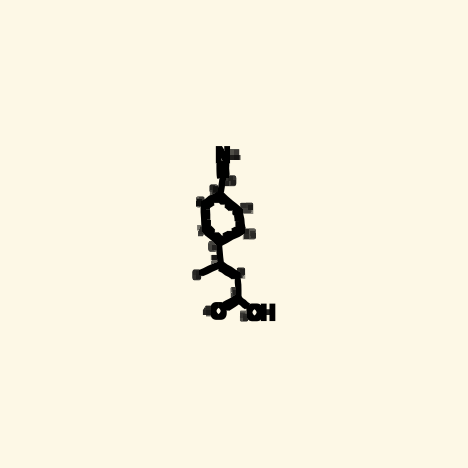 CC(=CC(=O)O)c1ccc(C#N)cc1